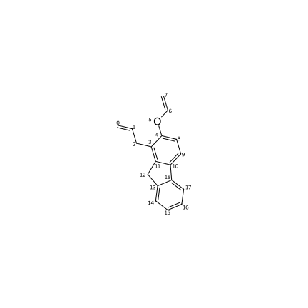 C=CCc1c(OC=C)ccc2c1Cc1ccccc1-2